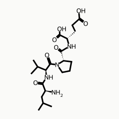 CC(C)C[C@H](N)C(=O)N[C@H](C(=O)N1CCC[C@H]1C(=O)N[C@@H](CCC(=O)O)C(=O)O)C(C)C